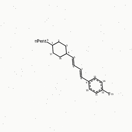 CCCCCC1CCC(C=CC=Cc2ccc(F)cc2)CC1